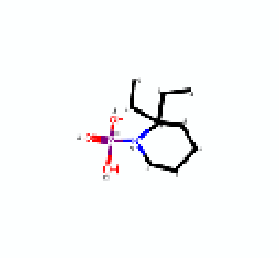 CCC1(CC)CCCCN1P(=O)(O)O